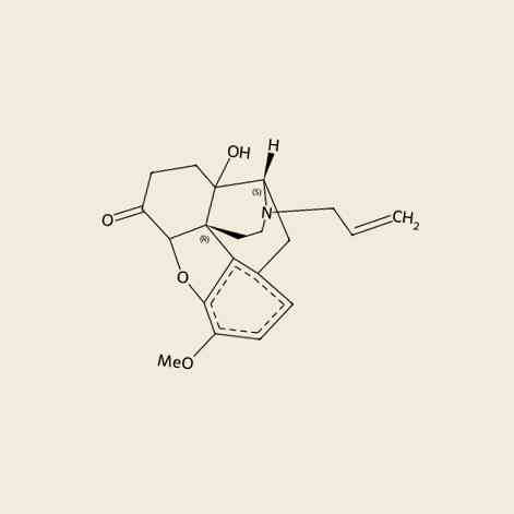 C=CCN1CC[C@@]23c4c5ccc(OC)c4OC2C(=O)CCC3(O)[C@@H]1C5